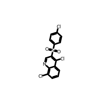 O=S(=O)(c1ccc(Cl)cc1)c1cnc2c(Cl)cccc2c1Cl